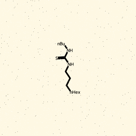 CCCCCCCCCNC(=S)NCCCC